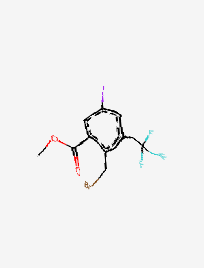 COC(=O)c1cc(I)cc(C(F)(F)F)c1CBr